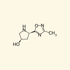 Cc1noc([C@H]2C[C@@H](O)CN2)n1